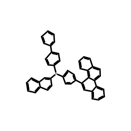 c1ccc(-c2ccc(N(c3ccc(-c4cc5ccccc5c5ccc6ccccc6c45)cc3)c3ccc4ccccc4c3)cc2)cc1